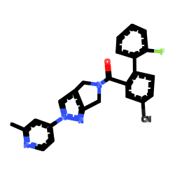 Cc1cc(-n2cc3c(n2)CN(C(=O)c2cc(C#N)ccc2-c2ccccc2F)C3)ccn1